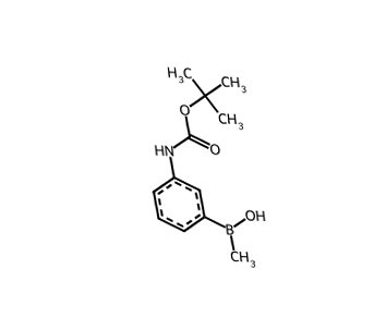 CB(O)c1cccc(NC(=O)OC(C)(C)C)c1